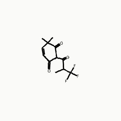 CC(C(=O)C1C(=O)C=CC(C)(C)C1=O)C(F)(F)F